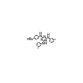 CCCCc1ccc(Nc2nc(Nc3cccc(C)c3)nc(Nc3cccc(C)c3)n2)cc1